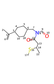 C=C(C)C1CCC(CN(C=O)C(=O)CC(C)SC)CC1